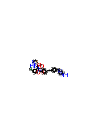 O=C(Nc1nccs1)[C@@H](c1cc(F)ccc1O)N1Cc2ccc(C#Cc3ccc(CN4CCNCC4)cc3)cc2C1=O